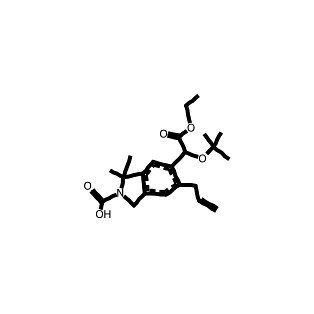 C=CCc1cc2c(cc1C(OC(C)(C)C)C(=O)OCC)C(C)(C)N(C(=O)O)C2